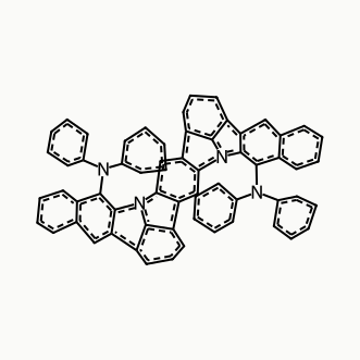 c1ccc(N(c2ccccc2)c2c3ccccc3cc3c4cccc5c6cc7c(cc6n(c23)c54)c2cccc3c4cc5ccccc5c(N(c5ccccc5)c5ccccc5)c4n7c23)cc1